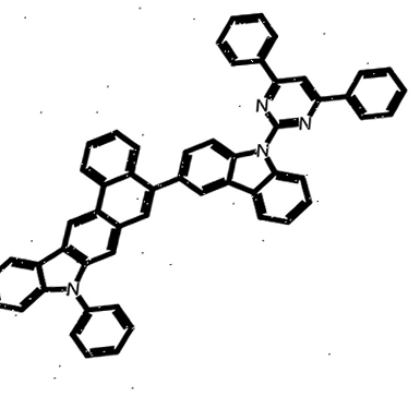 c1ccc(-c2cc(-c3ccccc3)nc(-n3c4ccccc4c4cc(-c5cc6cc7c(cc6c6ccccc56)c5ccccc5n7-c5ccccc5)ccc43)n2)cc1